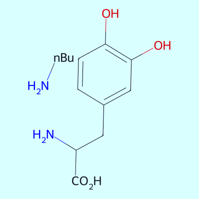 CCCCN.NC(Cc1ccc(O)c(O)c1)C(=O)O